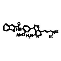 CCN(CC)CC=Cc1cnc(N)c2c(-c3ccc(NC(=O)c4cc5ccccc5s4)c(OC)c3)csc12